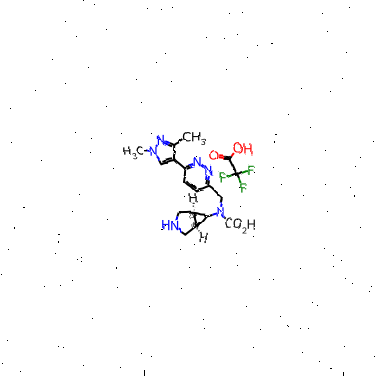 Cc1nn(C)cc1-c1ccc(CN(C(=O)O)C2[C@H]3CNC[C@@H]23)nn1.O=C(O)C(F)(F)F